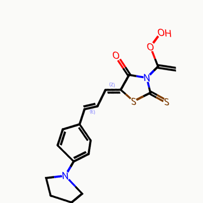 C=C(OO)N1C(=O)/C(=C/C=C/c2ccc(N3CCCC3)cc2)SC1=S